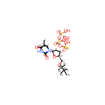 Cc1cn([C@H]2C[C@H](OP(O)(=S)OP(=O)(O)OP(=O)(O)O)[C@@H](CO[Si](C)(C)C(C)(C)C)O2)c(=O)[nH]c1=O